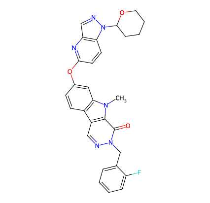 Cn1c2cc(Oc3ccc4c(cnn4C4CCCCO4)n3)ccc2c2cnn(Cc3ccccc3F)c(=O)c21